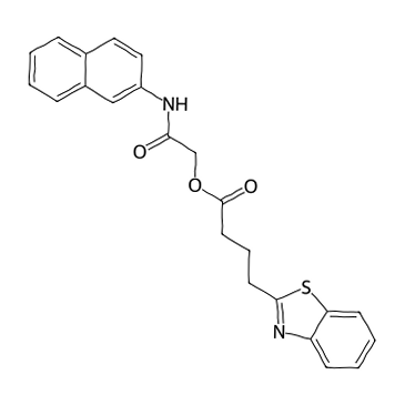 O=C(COC(=O)CCCc1nc2ccccc2s1)Nc1ccc2ccccc2c1